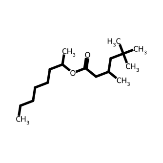 CCCCCCC(C)OC(=O)CC(C)CC(C)(C)C